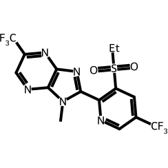 CCS(=O)(=O)c1cc(C(F)(F)F)cnc1-c1nc2nc(C(F)(F)F)cnc2n1C